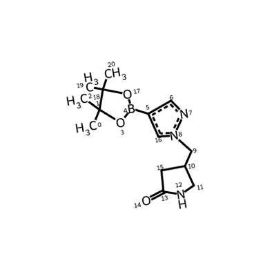 CC1(C)OB(c2cnn(CC3CNC(=O)C3)c2)OC1(C)C